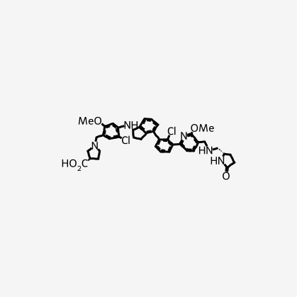 COc1cc(N[C@H]2CCc3c(-c4cccc(-c5ccc(CNC[C@@H]6CCC(=O)N6)c(OC)n5)c4Cl)cccc32)c(Cl)cc1CN1CC[C@@H](C(=O)O)C1